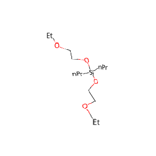 CCC[Si](CCC)(OCCOCC)OCCOCC